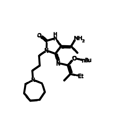 CCCCOC(/N=C1\C(=C(/C)N)NC(=O)N1CCCN1CCCCCC1)=C(/C)CC